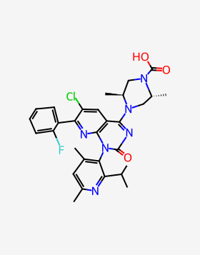 Cc1cc(C)c(-n2c(=O)nc(N3C[C@@H](C)N(C(=O)O)C[C@@H]3C)c3cc(Cl)c(-c4ccccc4F)nc32)c(C(C)C)n1